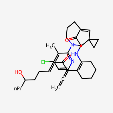 C=C=C(C(=O)/C=C/CCC(O)CCC)C1=C(NCC(=O)/C2=C\C3(CC3)CN(c3nccc(Cl)c3C)CCC2)CCCC1